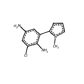 Cn1cccc1-c1cc(N)cc(Cl)c1N